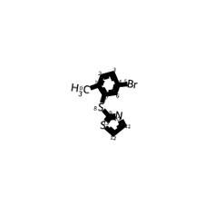 Cc1ccc(Br)cc1Sc1nccs1